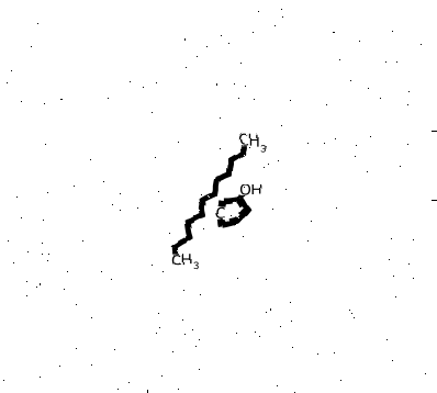 CCCCCCCCCCCC.Oc1ccccc1